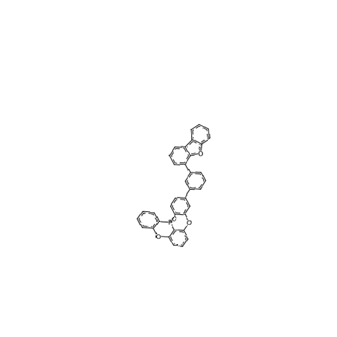 O=P12c3ccccc3Oc3cccc(c31)Oc1cc(-c3cccc(-c4cccc5c4oc4ccccc45)c3)ccc12